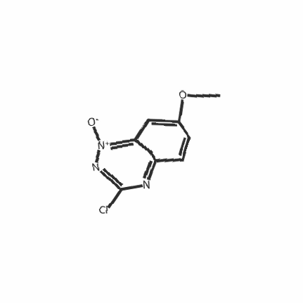 COc1ccc2nc(Cl)n[n+]([O-])c2c1